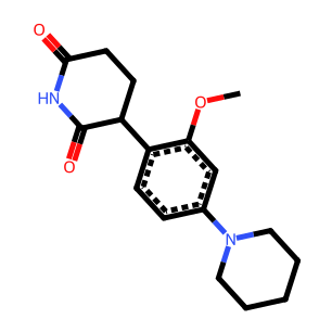 COc1cc(N2CCCCC2)ccc1C1CCC(=O)NC1=O